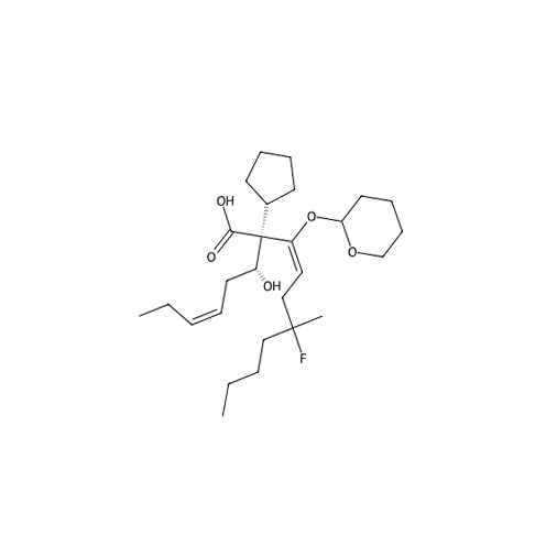 CC/C=C\C[C@@H](O)[C@@](C(=O)O)(/C(=C\CC(C)(F)CCCC)OC1CCCCO1)C1CCCC1